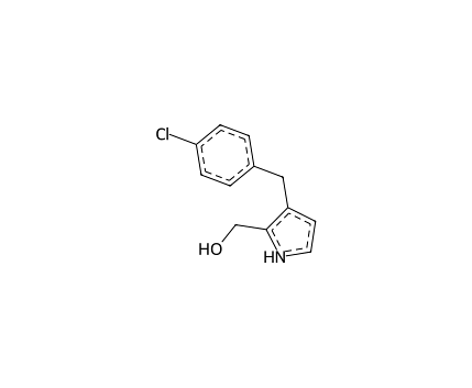 OCc1[nH]ccc1Cc1ccc(Cl)cc1